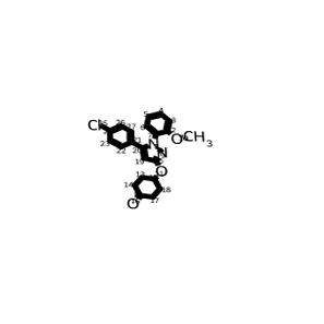 COc1ccccc1-n1nc(OC2CCC(=O)CC2)cc1-c1ccc(Cl)cc1